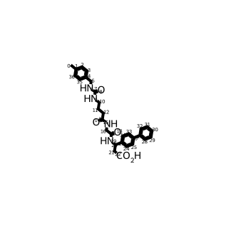 Cc1ccc(CNC(=O)NCCCC(=O)NCC(=O)NC(CC(=O)O)c2ccc(-c3ccccc3)cc2)cc1